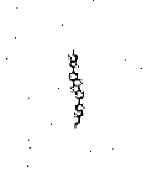 CC=Cc1cc2sc(-c3ccc4c(c3)sc3c5ccc(-c6cc7sc(C)cc7s6)cc5sc43)cc2s1